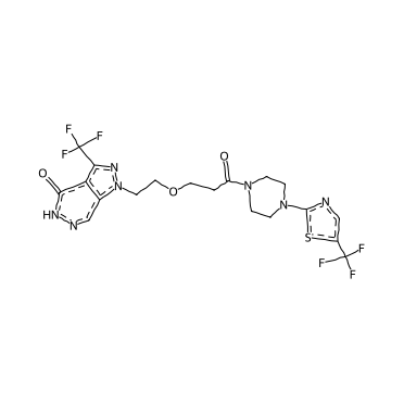 O=C(CCOCCn1nc(C(F)(F)F)c2c(=O)[nH]ncc21)N1CCN(c2ncc(C(F)(F)F)s2)CC1